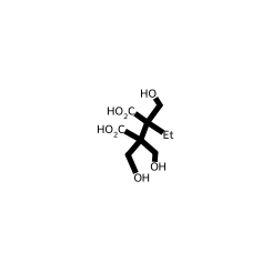 CCC(CO)(C(=O)O)C(CO)(CO)C(=O)O